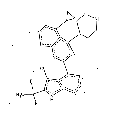 CC(F)(F)c1[nH]c2nccc(-c3nc(N4CCNCC4)c4c(C5CC5)cncc4n3)c2c1Cl